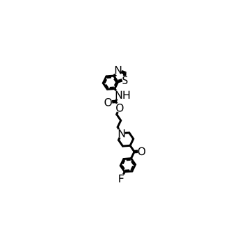 O=C(Nc1cccc2ncsc12)OCCCN1CCC(C(=O)c2ccc(F)cc2)CC1